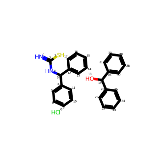 Cl.N=C(S)NC(c1ccccc1)c1ccccc1.OC(c1ccccc1)c1ccccc1